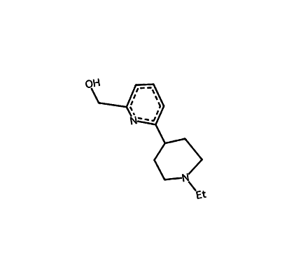 CCN1CCC(c2cccc(CO)n2)CC1